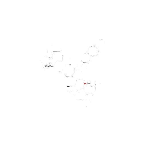 C[C@H]1[C@@H](/C(C[C@H]2O[C@@H]3C[C@]4(C)CC[C@H]5[C@H](C)CC[C@@H]([C@H]2C)[C@@]35OO4)=N\OC(=O)Nc2ccc(OC(F)(F)F)cc2)O[C@@H]2C[C@]3(C)CC[C@H]4[C@H](C)CC[C@@H]1[C@@]24OO3